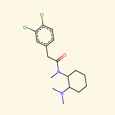 CN(C)C1CCCCC1N(C)C(=O)Cc1ccc(Cl)c(Cl)c1